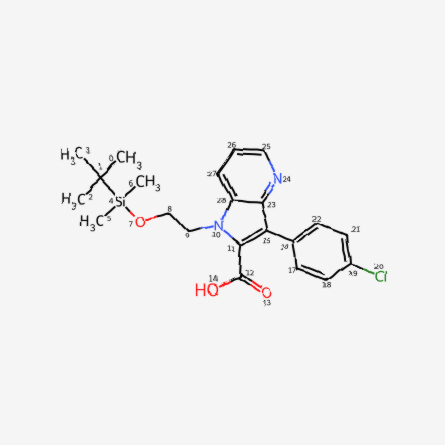 CC(C)(C)[Si](C)(C)OCCn1c(C(=O)O)c(-c2ccc(Cl)cc2)c2ncccc21